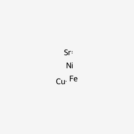 [Cu].[Fe].[Ni].[Sr]